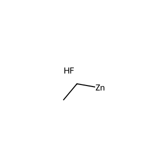 C[CH2][Zn].F